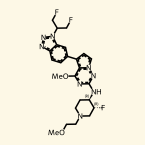 COCCN1CC[C@@H](Nc2nc(OC)c3c(-c4ccc5nnn(C(CF)CF)c5c4)ccn3n2)[C@H](F)C1